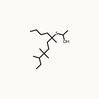 CCCCC(C)(CCC(C)(C)C(C)CC)SC(C)O